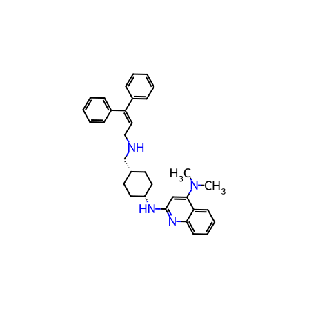 CN(C)c1cc(N[C@H]2CC[C@@H](CNCC=C(c3ccccc3)c3ccccc3)CC2)nc2ccccc12